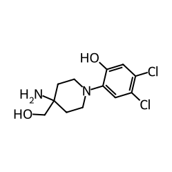 NC1(CO)CCN(c2cc(Cl)c(Cl)cc2O)CC1